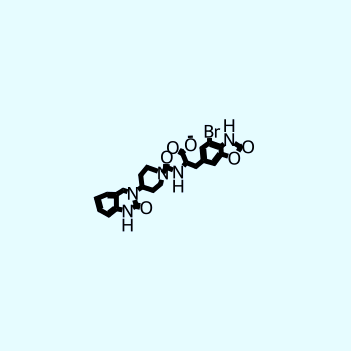 COC(=O)C(Cc1cc(Br)c2[nH]c(=O)oc2c1)NC(=O)N1CCC(N2Cc3ccccc3NC2=O)CC1